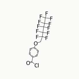 O=C(Cl)c1ccc(OCC(F)(F)C(F)(F)C(F)(F)C(F)(F)C(F)(F)F)cc1